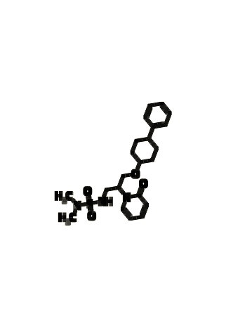 CN(C)S(=O)(=O)NCC(COC1CCC(c2ccccc2)CC1)n1ccccc1=O